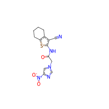 N#Cc1c(NC(=O)Cn2cnc([N+](=O)[O-])c2)sc2c1CCCC2